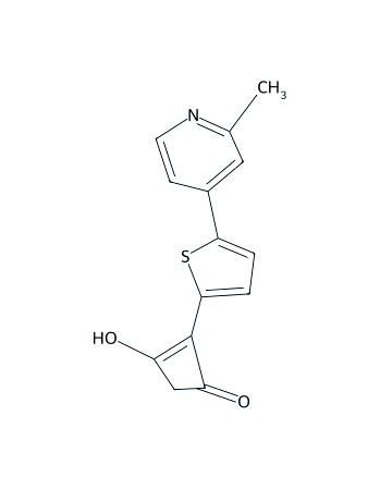 Cc1cc(-c2ccc(C3=C(O)CC3=O)s2)ccn1